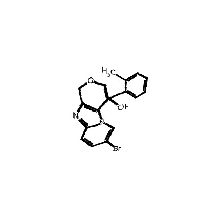 Cc1ccccc1C1(O)COCc2nc3ccc(Br)cn3c21